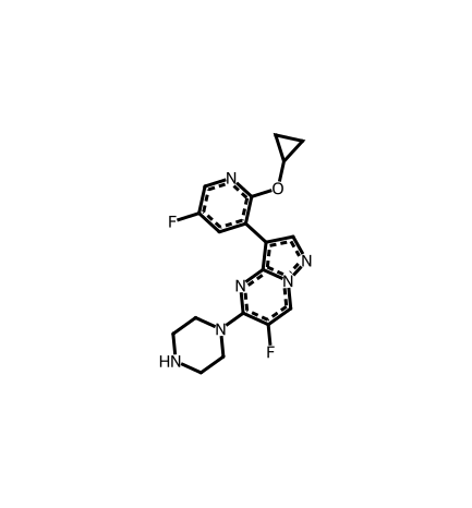 Fc1cnc(OC2CC2)c(-c2cnn3cc(F)c(N4CCNCC4)nc23)c1